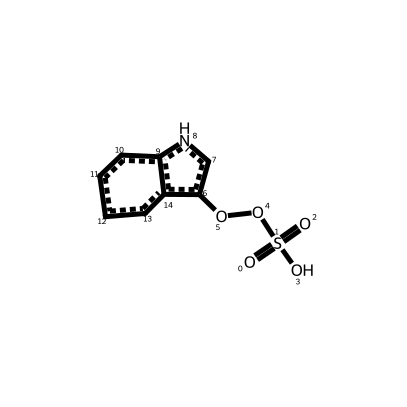 O=S(=O)(O)OOc1c[nH]c2ccccc12